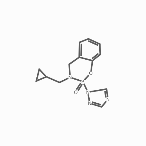 O=P1(n2cncn2)Oc2ccccc2CN1CC1CC1